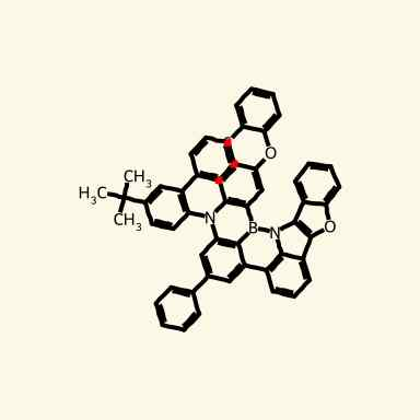 CC(C)(C)c1ccc(N2c3cc4c(cc3B3c5c(cc(-c6ccccc6)cc52)-c2cccc5c6oc7ccccc7c6n3c25)Oc2ccccc2S4)c(-c2ccccc2)c1